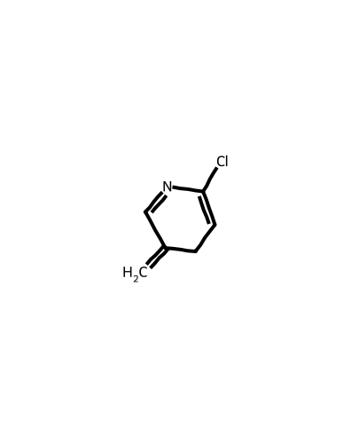 C=C1C=NC(Cl)=CC1